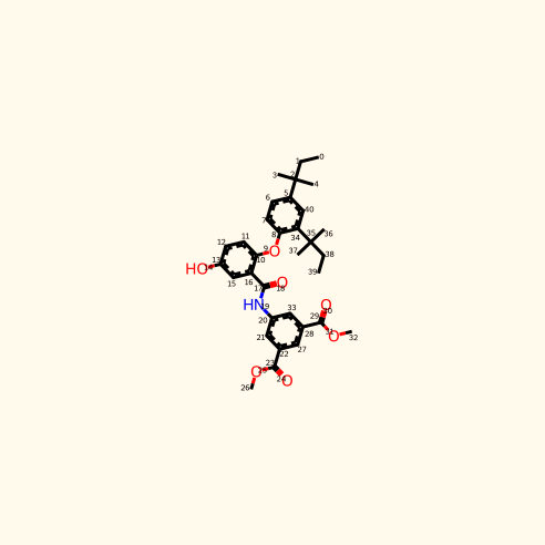 CCC(C)(C)c1ccc(Oc2ccc(O)cc2C(=O)Nc2cc(C(=O)OC)cc(C(=O)OC)c2)c(C(C)(C)CC)c1